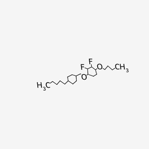 CCCCCC1CCC(COC2CCC(OCCCC)C(F)C2F)CC1